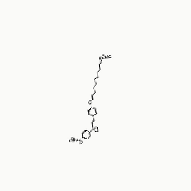 CCCCCCCCCCCCCCCCCCCCCOc1ccc(C=CC(=O)c2ccc(SCCCC)cc2)cc1